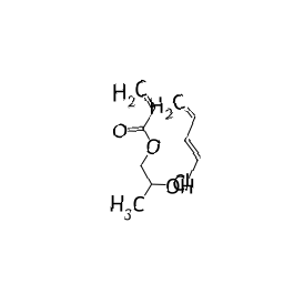 C=CC(=O)OCC(C)O.C=CC=CCl